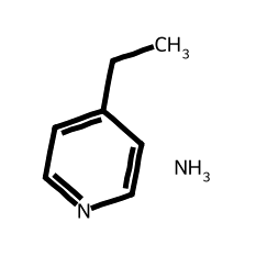 CCc1ccncc1.N